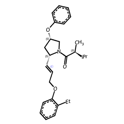 CCc1ccccc1OC/C=C/[C@@H]1C[C@H](Oc2ccccc2)CN1C(=O)[C@@H](C)C(C)C